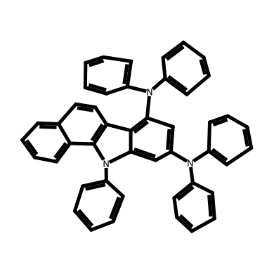 c1ccc(N(c2ccccc2)c2cc(N(c3ccccc3)c3ccccc3)c3c4ccc5ccccc5c4n(-c4ccccc4)c3c2)cc1